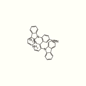 C=C/C(=C(\C=C/N)n1c2ccccc2c2ccccc21)c1cc(C#N)ccc1-n1c2ccccc2c2ccccc21